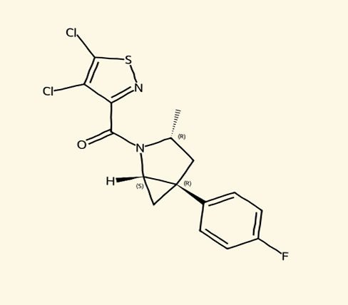 C[C@@H]1C[C@]2(c3ccc(F)cc3)C[C@@H]2N1C(=O)c1nsc(Cl)c1Cl